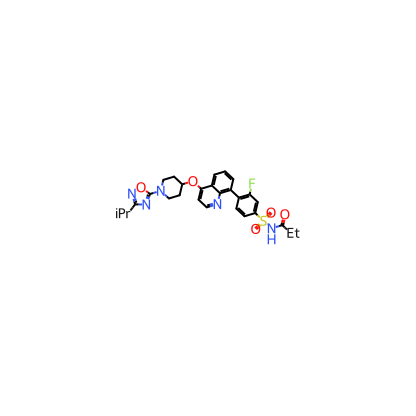 CCC(=O)NS(=O)(=O)c1ccc(-c2cccc3c(OC4CCN(c5nc(C(C)C)no5)CC4)ccnc23)c(F)c1